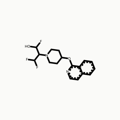 OC(F)C(C(F)F)N1CCC(Oc2nccc3ccccc23)CC1